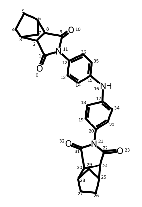 O=C1C2C3CCC(C3)C2C(=O)N1c1ccc(Nc2ccc(N3C(=O)C4C5CCC(C5)C4C3=O)cc2)cc1